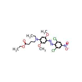 CCOC(=O)CCCN(CC)c1cc(OC)c(N=Nc2c(Cl)cc([N+](=O)[O-])cc2Cl)cc1OC